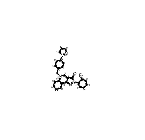 O=c1c2cn(Cc3ccc(-n4cccn4)cc3)c3ccncc3c-2nn1-c1ccccc1F